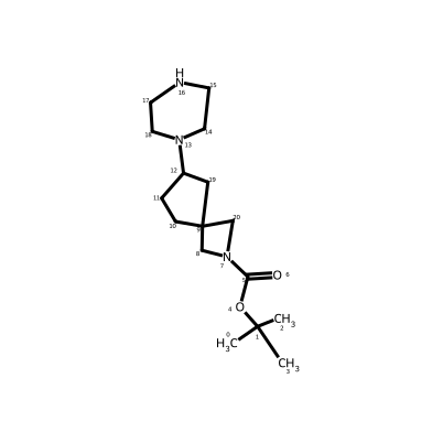 CC(C)(C)OC(=O)N1CC2(CCC(N3CCNCC3)C2)C1